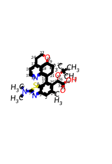 Cc1cc2nc(N(C)C)sc2c(C2=c3nccc4c3=C(CC2)OCC4)c1[C@H](OC(C)(C)C)C(=O)O